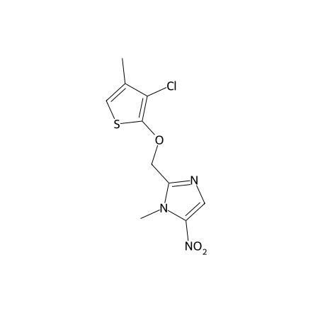 Cc1csc(OCc2ncc([N+](=O)[O-])n2C)c1Cl